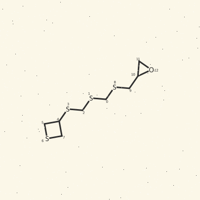 C(SCSC1CSC1)SCC1CO1